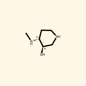 CN[C@@H]1CCNC[C@H]1O